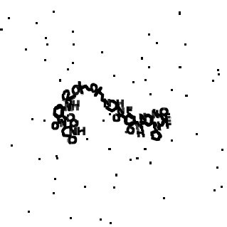 COc1cc(C(=O)NC2CCN(CCC(C)(C)OCCC(C)(C)OCC(=O)Nc3cccc4c3C(=O)N(C3CCC(=O)NC3=O)C4=O)CC2)c(F)cc1Nc1cc2c(cn1)N(C)C(=O)C(F)(F)CN2C1CCCC1